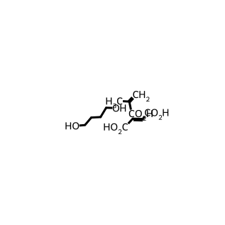 C=C(C)C(=O)O.O=C(O)C=CC(=O)O.OCCCCO